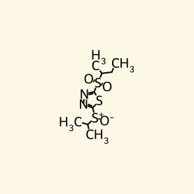 CCC(C)S(=O)(=O)c1nnc([S+]([O-])C(C)C)s1